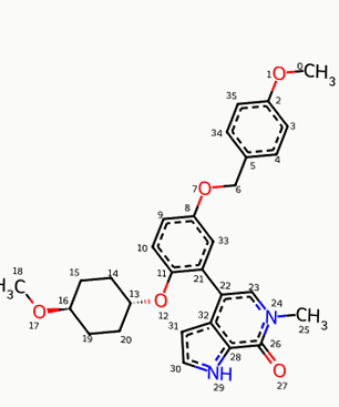 COc1ccc(COc2ccc(O[C@H]3CC[C@H](OC)CC3)c(-c3cn(C)c(=O)c4[nH]ccc34)c2)cc1